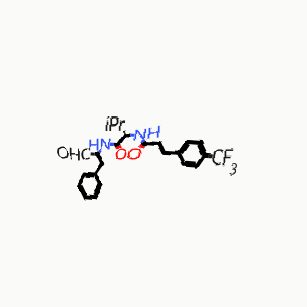 CC(C)[C@H](NC(=O)CCc1ccc(C(F)(F)F)cc1)C(=O)NC(C=O)Cc1ccccc1